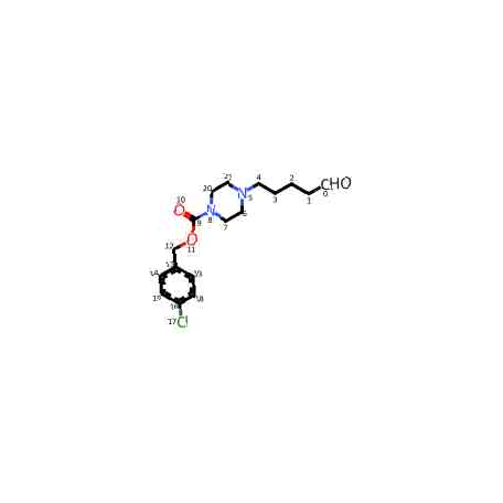 O=CCCCCN1CCN(C(=O)OCc2ccc(Cl)cc2)CC1